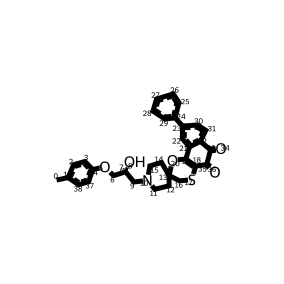 Cc1ccc(OC[C@@H](O)CN2CCC3(CC2)CSC2=C(O3)c3cc(-c4ccccc4)ccc3C(=O)C2=O)cc1